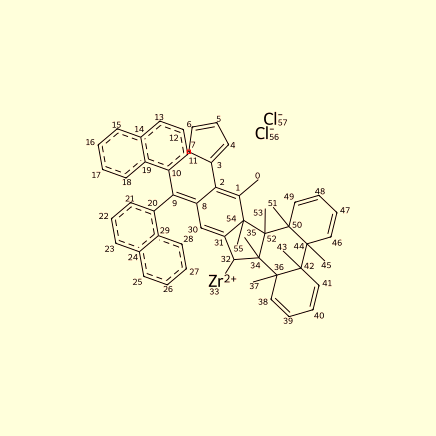 CC1=C(C2=CC=CC2)C(=C(c2cccc3ccccc23)c2cccc3ccccc23)C=C2[CH]([Zr+2])C3(C)C4(C)C=CC=CC4(C)C4(C)C=CC=CC4(C)C3(C)C21C.[Cl-].[Cl-]